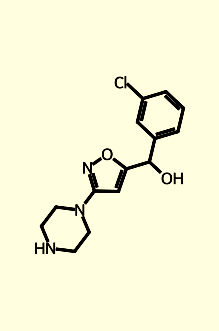 OC(c1cccc(Cl)c1)c1cc(N2CCNCC2)no1